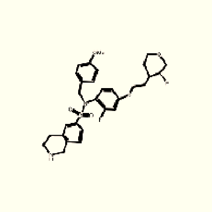 COc1ccc(CN(c2ccc(OCCC3CCOC[C@H]3F)cc2F)S(=O)(=O)c2ccc3c(c2)CCNC3)cc1